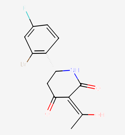 C/C(O)=C1\C(=O)C[C@H](c2ccc(F)cc2Br)NC1=O